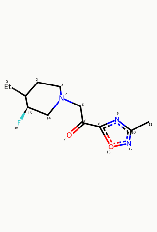 CCC1CCN(CC(=O)c2nc(C)no2)C[C@H]1F